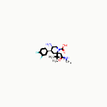 CNC(=O)CC1(C(C)(C)C)C[C@@H](c2ccc(F)c(F)c2)[C@H](N)CN1C(=O)O